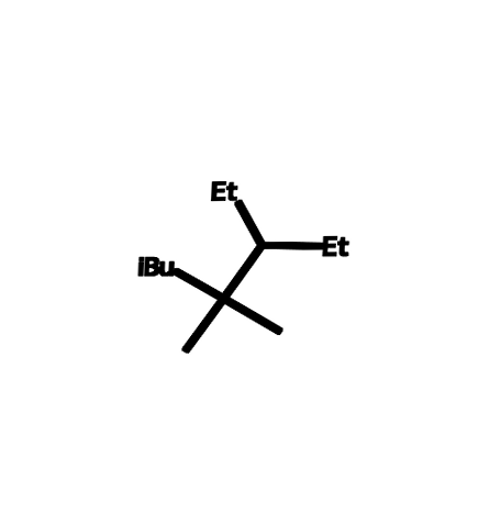 [CH2]CC(CC)C(C)(C)C(C)CC